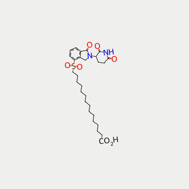 O=C(O)CCCCCCCCCCCCCCS(=O)(=O)c1cccc2c1CN(C1CCC(=O)NC1=O)C2=O